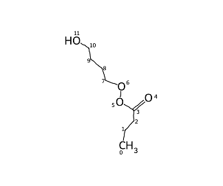 CCCC(=O)OOCCCCO